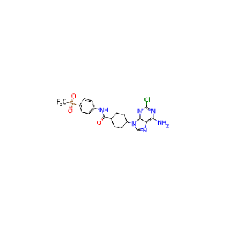 Nc1nc(Cl)nc2c1ncn2C1CCC(C(=O)Nc2ccc(S(=O)(=O)C(F)(F)F)cc2)CC1